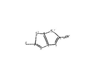 Cc1cc2cc(Br)sc2s1